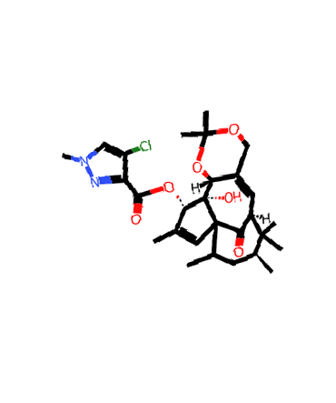 CC1=CC23C(=O)[C@@H](C=C4COC(C)(C)O[C@H]4[C@]2(O)[C@H]1OC(=O)c1nn(C)cc1Cl)C(C)(C)[C@@H](C)CC3C